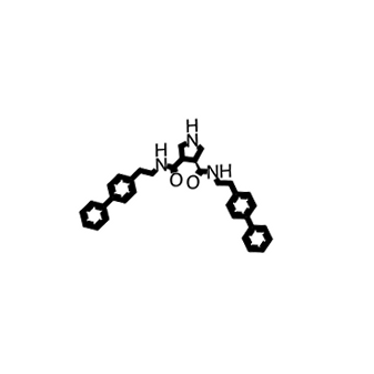 O=C(NCCc1ccc(-c2ccccc2)cc1)C1CNC[C@H]1C(=O)NCCc1ccc(-c2ccccc2)cc1